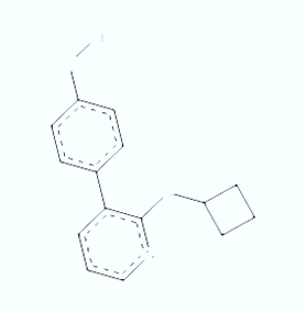 COc1ccc(-c2cccnc2SC2CCC2)cc1